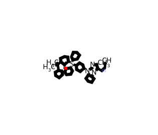 C#C/C=C\c1c(C)nc2n(-c3ccc(S(c4ccccc4)(c4ccccc4)c4cccc5c4Sc4ccccc4C5(C)C)cc3)c3ccccc3n12